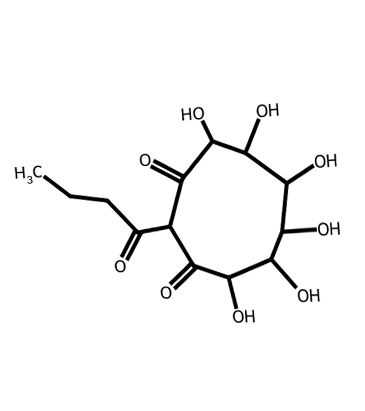 CCCC(=O)C1C(=O)C(O)C(O)C(O)C(O)C(O)C(O)C1=O